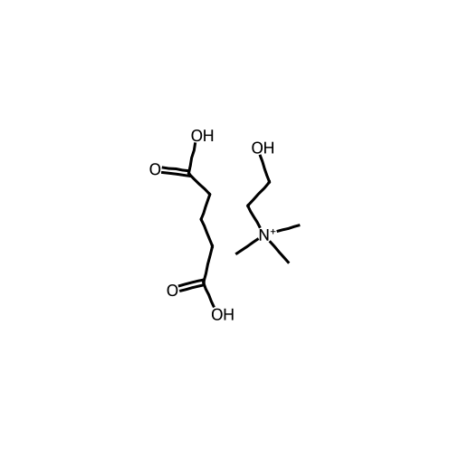 C[N+](C)(C)CCO.O=C(O)CCCC(=O)O